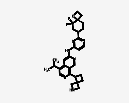 CC(C)c1cnc(N2CCC23CNC3)c2cnc(Nc3ccnc(N4CC[C@@]5(CCO5)C(F)(F)C4)n3)cc12